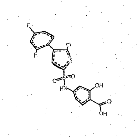 O=C(O)c1ccc(NS(=O)(=O)c2cc(-c3ccc(F)cc3F)c(Cl)s2)cc1O